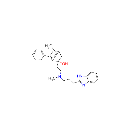 CC1=C(c2ccccc2)C2CCC1CC2(O)CCN(C)CCCc1nc2ccccc2[nH]1